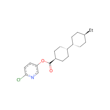 CC[C@H]1CC[C@H]([C@H]2CC[C@H](C(=O)Oc3ccc(Cl)nc3)CC2)CC1